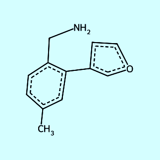 Cc1ccc(CN)c(-c2ccoc2)c1